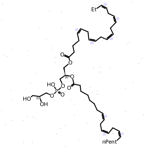 CC/C=C\C/C=C\C/C=C\C/C=C\C/C=C\CCCC(=O)OC[C@H](COP(=O)(O)OC[C@@H](O)CO)OC(=O)CCCCCC/C=C\C/C=C\C/C=C\CCCCC